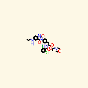 CCCNc1ccc2c(c1)c(=O)n(-c1ccc(C[C@H](NC(=O)c3c(Cl)cccc3Cl)C(=O)OC(C)CN3CCOCC3)cc1)c(=O)n2C